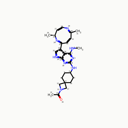 CNc1nc(NC2CCC3(CC2)CN(C(C)=O)C3)nc2[nH]cc(C3=N\[C@@H](C)\C=C/N=C(C)\C=C/3)c12